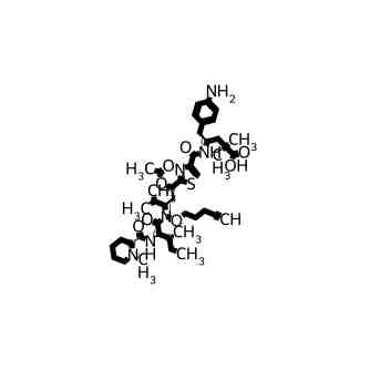 C#CCCCON(C(=O)[C@@H](NC(=O)[C@H]1CCCCN1C)[C@@H](C)CC)[C@H](C[C@@H](OC(C)=O)c1nc(C(=O)N[C@@H](Cc2ccc(N)cc2)CC(C)(C)C(=O)O)cs1)C(C)C